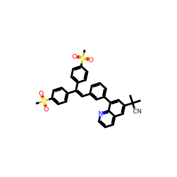 CC(C)(C#N)c1cc(-c2cccc(C=C(c3ccc(S(C)(=O)=O)cc3)c3ccc(S(C)(=O)=O)cc3)c2)c2ncccc2c1